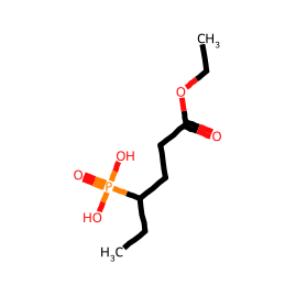 CCOC(=O)CCC(CC)P(=O)(O)O